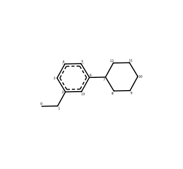 CCc1c[c][c]c(C2CCCCC2)c1